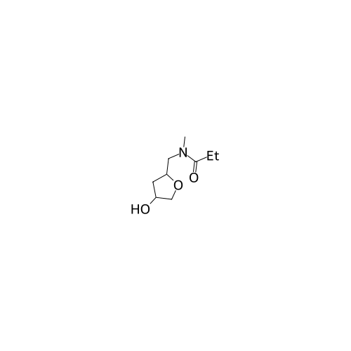 CCC(=O)N(C)CC1CC(O)CO1